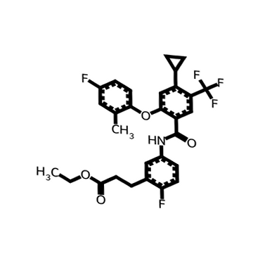 CCOC(=O)CCc1cc(NC(=O)c2cc(C(F)(F)F)c(C3CC3)cc2Oc2ccc(F)cc2C)ccc1F